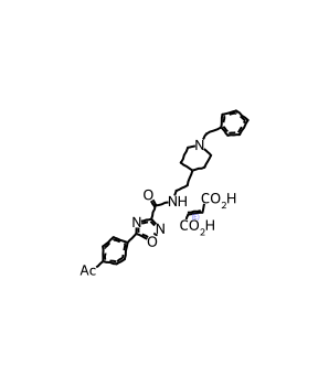 CC(=O)c1ccc(-c2nc(C(=O)NCCC3CCN(Cc4ccccc4)CC3)no2)cc1.O=C(O)/C=C/C(=O)O